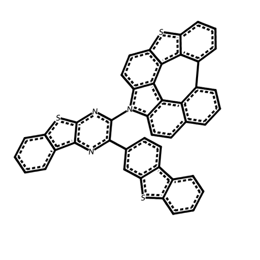 c1cc2c3c(c1)ccc1c3c3c4c(ccc3n1-c1nc3sc5ccccc5c3nc1-c1ccc3c(c1)sc1ccccc13)sc1cccc-2c14